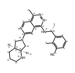 Cc1c(C#N)cccc1[C@@H](C)Nc1nnc(C)c2cnc(N3C[C@@H]4CCCN[C@@H]4C3)cc12